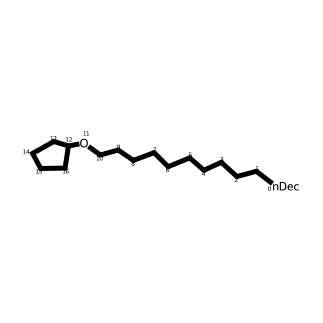 [CH2]CCCCCCCCCCCCCCCCCCCOC1C[CH]CC1